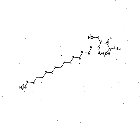 CCCC[C@H](O)C(=O)C(CO)[C@H](O)CCCCCCCCCCCCCCCN